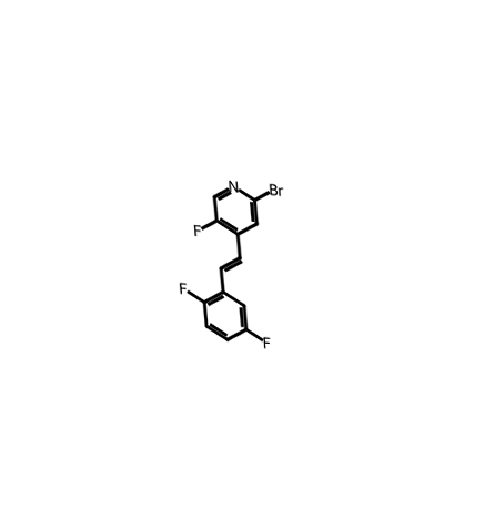 Fc1ccc(F)c(C=Cc2cc(Br)ncc2F)c1